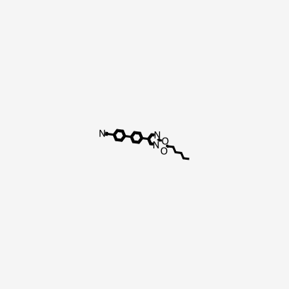 CCCCCC(=O)Oc1ncc(-c2ccc(-c3ccc(C#N)cc3)cc2)cn1